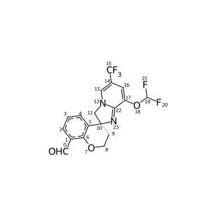 O=Cc1cccc2c1OCC[C@@]21CN2C=C(C(F)(F)F)C=C(OC(F)F)C2=N1